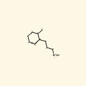 CNCCCC1CCCCC1C